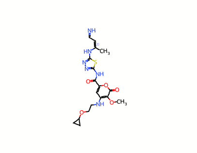 COc1c(NCCOC2CC2)cc(C(=O)Nc2nnc(N/C(C)=C\C=N)s2)oc1=O